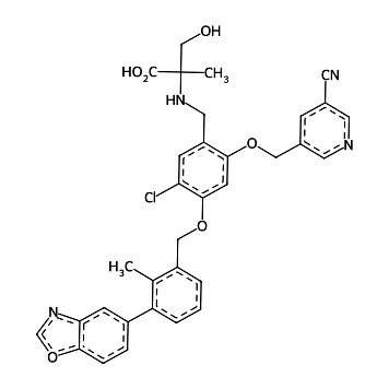 Cc1c(COc2cc(OCc3cncc(C#N)c3)c(CNC(C)(CO)C(=O)O)cc2Cl)cccc1-c1ccc2ocnc2c1